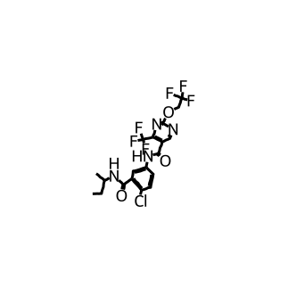 CCC(C)NC(=O)c1cc(NC(=O)c2cnc(OCC(F)(F)F)nc2C(F)(F)F)ccc1Cl